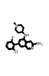 CN1CCC(Nc2cc(-c3c(F)cccc3Cl)cc3cnc(N)cc23)CC1